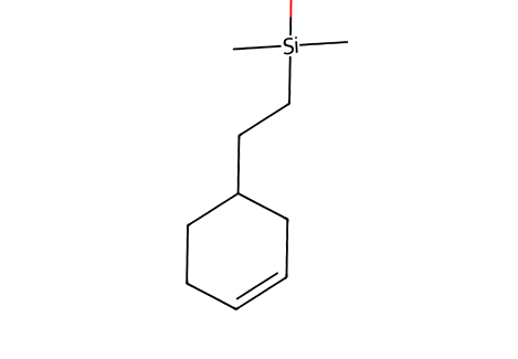 C[Si](C)(O)CCC1CC=CCC1